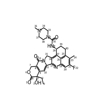 CC[C@]1(O)C(=O)OCc2c1cc1n(c2=O)Cc2c-1nc1cc(F)c(C)c3c1c2[C@@H](NC(=O)N1CCN(C)CC1)CC3